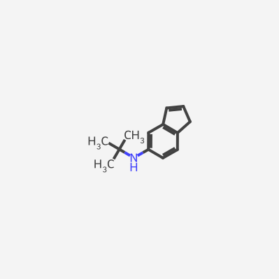 CC(C)(C)Nc1ccc2c(c1)C=CC2